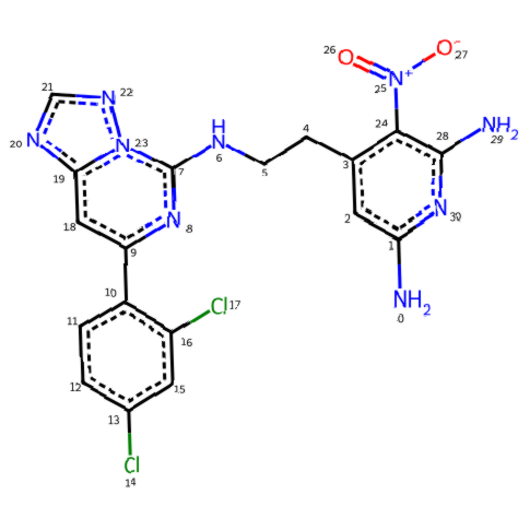 Nc1cc(CCNc2nc(-c3ccc(Cl)cc3Cl)cc3ncnn23)c([N+](=O)[O-])c(N)n1